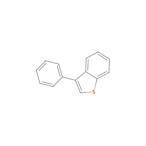 c1ccc(-c2csc3ccccc23)cc1